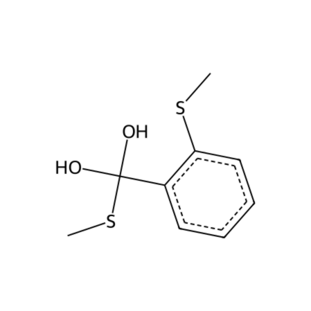 CSc1ccccc1C(O)(O)SC